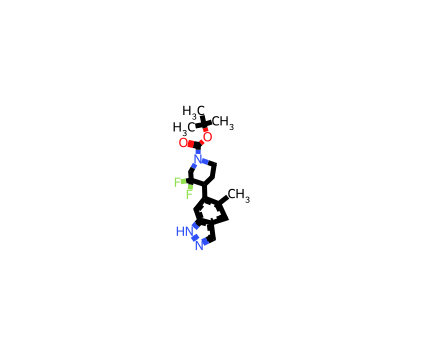 Cc1cc2cn[nH]c2cc1C1CCN(C(=O)OC(C)(C)C)CC1(F)F